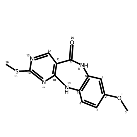 COc1ccc2c(c1)NC(=O)c1cnc(SC)nc1N2